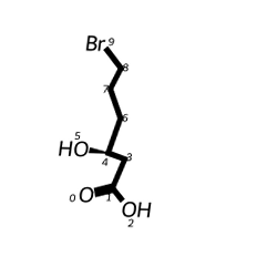 O=C(O)C[C@@H](O)CCCBr